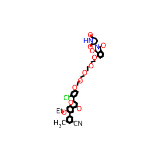 CCOc1cc2oc(-c3ccc(OCCOCCOCCOCCOc4cccc5c4C(=O)N(C4CCC(=O)NC4=O)C5=O)cc3Cl)cc(=O)c2cc1-c1cc(C)cc(C#N)c1